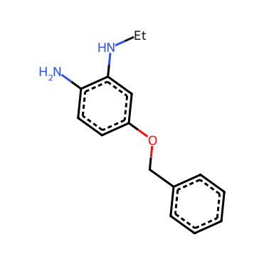 CCNc1cc(OCc2ccccc2)ccc1N